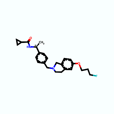 C[C@H](NC(=O)C1CC1)c1ccc(CN2CCc3cc(OCCCF)ccc3C2)cc1